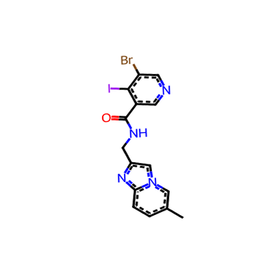 Cc1ccc2nc(CNC(=O)c3cncc(Br)c3I)cn2c1